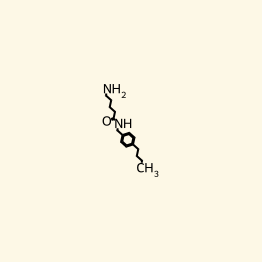 CCCCc1ccc(CNC(=O)CCCCN)cc1